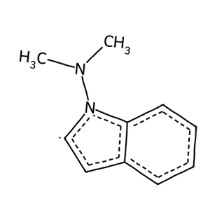 CN(C)n1[c]cc2ccccc21